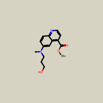 CN(CCCO)c1ccc2nccc(C(=O)OC(C)(C)C)c2c1